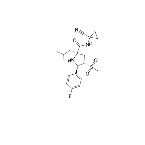 CC(C)C[C@]1(C(=O)NC2(C#N)CC2)C[C@H](S(C)(=O)=O)[C@@H](c2ccc(F)cc2)N1